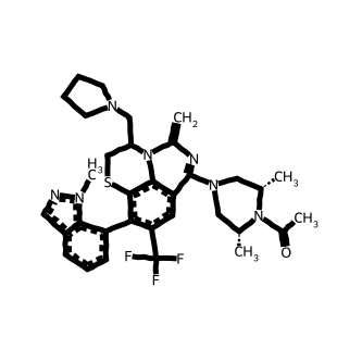 C=C1N=C(N2C[C@@H](C)N(C(C)=O)[C@@H](C)C2)c2cc(C(F)(F)F)c(-c3cccc4cnn(C)c34)c3c2N1C(CN1CCCC1)CS3